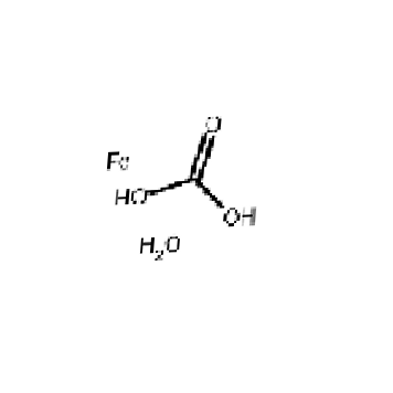 O.O=C(O)O.[Fe]